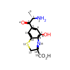 C[C@H](N)C(=O)c1cc(O)c2c(c1)SCC(C(=O)O)=N2